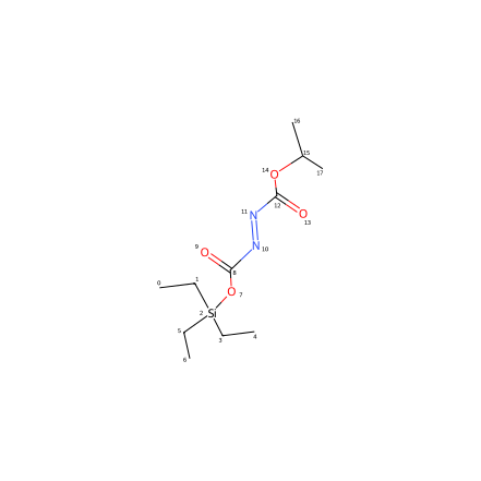 CC[Si](CC)(CC)OC(=O)N=NC(=O)OC(C)C